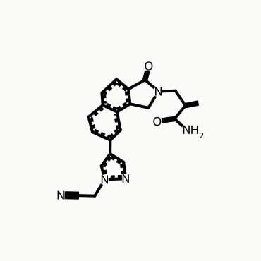 C=C(CN1Cc2c(ccc3ccc(-c4cnn(CC#N)c4)cc23)C1=O)C(N)=O